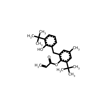 C=CC(=O)Oc1c(Cc2cccc(C(C)(C)C)c2O)cc(C)cc1C(C)(C)C